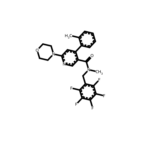 Cc1ccccc1-c1cc(N2CCOCC2)ncc1C(=O)N(C)Cc1c(F)c(F)c(F)c(F)c1F